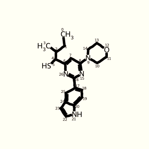 CCC(C)C(S)c1cc(N2CCOCC2)nc(-c2ccc3[nH]ccc3c2)n1